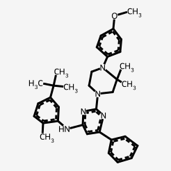 COc1ccc(N2CCN(c3nc(Nc4cc(C(C)(C)C)ccc4C)cc(-c4ccccc4)n3)CC2(C)C)cc1